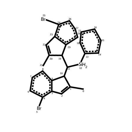 CC1=Cc2c(Br)cccc2C1C([SiH2]c1ccccc1)C1C(C)=Cc2c(Br)cccc21